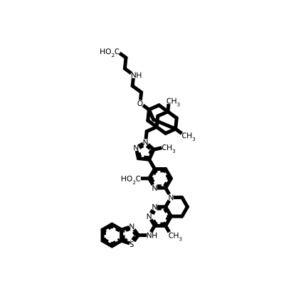 Cc1c(Nc2nc3ccccc3s2)nnc2c1CCCN2c1ccc(-c2cnn(CC34CC5(C)CC(C)(C3)CC(OCCNCCC(=O)O)(C5)C4)c2C)c(C(=O)O)n1